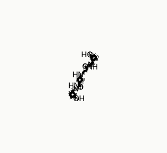 O=C(CCCNc1ccc(C(=O)N/N=C/c2cccc(O)c2)cc1)N/N=C/c1cccc(O)c1